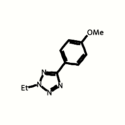 CCn1nnc(-c2ccc(OC)cc2)n1